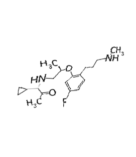 CNCCCc1ccc(F)cc1O[C@H](C)CN[C@H](C(C)=O)C1CC1